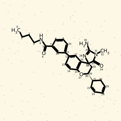 CCCCNC(=O)c1cccc(-c2ccc3c(c2)[C@]2(C[C@H](C4C=CC=CC4)O3)N=C(N)N(C)C2=O)c1